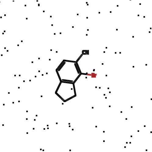 N#Cc1ccc2c(c1Br)CCC2